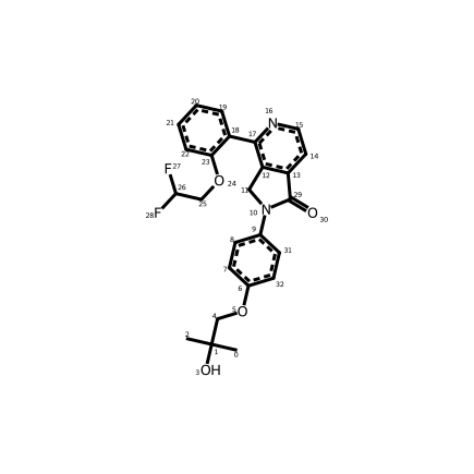 CC(C)(O)COc1ccc(N2Cc3c(ccnc3-c3ccccc3OCC(F)F)C2=O)cc1